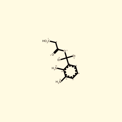 CCC(CC)(OC(=O)CC(=O)O)c1cccc([SiH3])c1[SiH3]